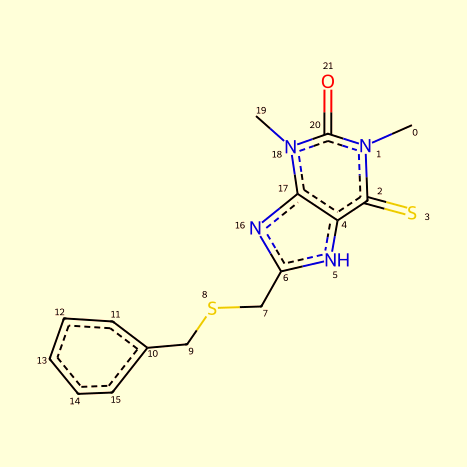 Cn1c(=S)c2[nH]c(CSCc3ccccc3)nc2n(C)c1=O